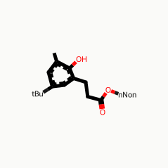 CCCCCCCCCOC(=O)CCc1cc(C(C)(C)C)cc(C)c1O